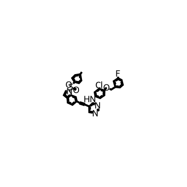 Cc1ccc(S(=O)(=O)n2ccc3ccc(C#Cc4cncnc4Nc4ccc(OCc5cccc(F)c5)c(Cl)c4)cc32)cc1